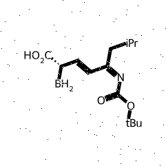 B[C@@H](/C=C/C(CC(C)C)=N\C(=O)OC(C)(C)C)C(=O)O